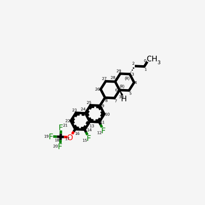 CCC[C@@H]1CC[C@@H]2CC(c3cc(F)c4c(F)c(OC(F)(F)F)ccc4c3)CCC2C1